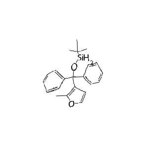 Cc1occc1C(O[SiH2]C(C)(C)C)(c1ccccc1)c1ccccc1